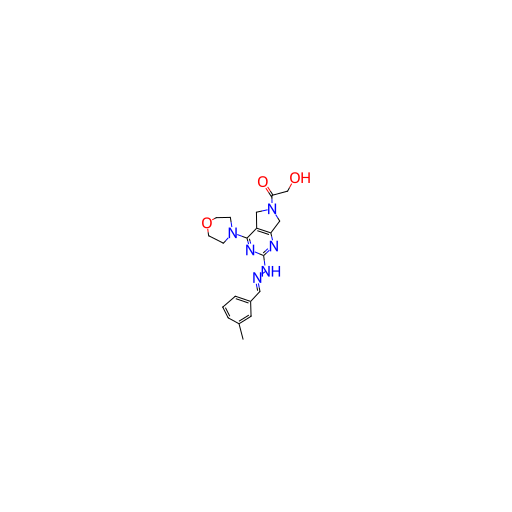 Cc1cccc(/C=N/Nc2nc3c(c(N4CCOCC4)n2)CN(C(=O)CO)C3)c1